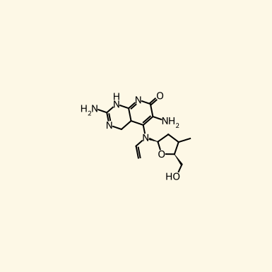 C=CN(C1=C(N)C(=O)N=C2NC(N)=NCC21)[C@H]1CC(C)[C@@H](CO)O1